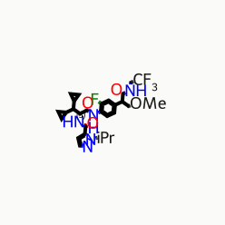 COCC(C(=O)NCC(F)(F)F)c1ccc(NC(=O)[C@@H](NC(=O)c2ccnn2C(C)C)C(C2CC2)C2CC2)c(F)c1